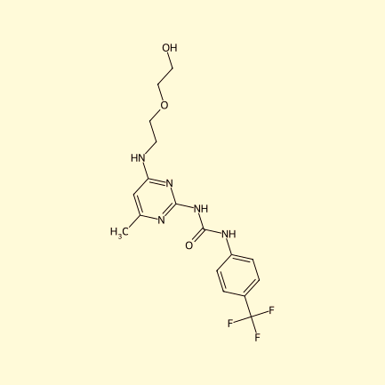 Cc1cc(NCCOCCO)nc(NC(=O)Nc2ccc(C(F)(F)F)cc2)n1